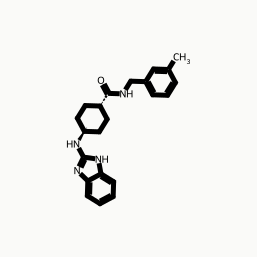 Cc1cccc(CNC(=O)[C@H]2CC[C@H](Nc3nc4ccccc4[nH]3)CC2)c1